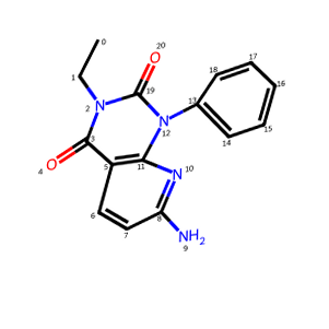 CCn1c(=O)c2ccc(N)nc2n(-c2ccccc2)c1=O